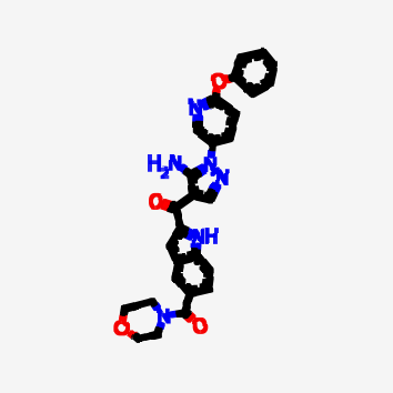 Nc1c(C(=O)c2cc3cc(C(=O)N4CCOCC4)ccc3[nH]2)cnn1-c1ccc(Oc2ccccc2)nc1